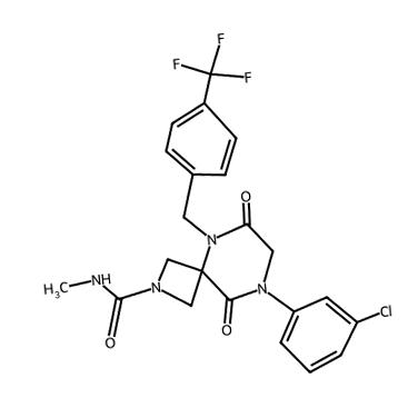 CNC(=O)N1CC2(C1)C(=O)N(c1cccc(Cl)c1)CC(=O)N2Cc1ccc(C(F)(F)F)cc1